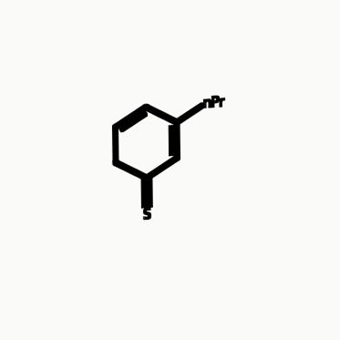 [CH2]CCC1=CC(=S)CC=C1